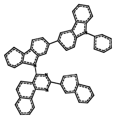 c1ccc(-n2c3ccccc3c3cc(-c4ccc5c6ccccc6n(-c6nc(-c7ccc8ccccc8c7)nc7c6ccc6ccccc67)c5c4)ccc32)cc1